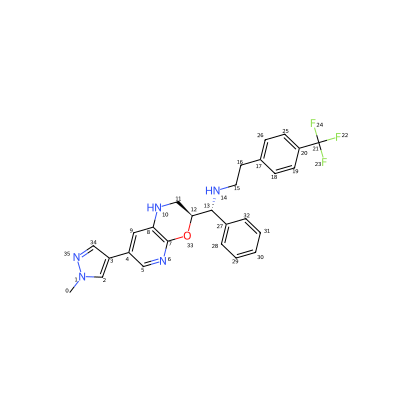 Cn1cc(-c2cnc3c(c2)NC[C@@H]([C@H](NCCc2ccc(C(F)(F)F)cc2)c2ccccc2)O3)cn1